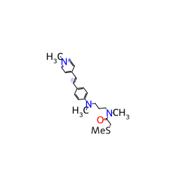 CSCC(=O)N(C)CCCN(C)c1ccc(/C=C/c2cc[n+](C)cc2)cc1